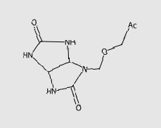 CC(=O)COCN1C(=O)NC2NC(=O)NC21